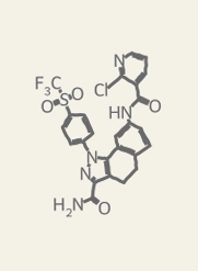 NC(=O)c1nn(-c2ccc(S(=O)(=O)C(F)(F)F)cc2)c2c1CCc1ccc(NC(=O)c3cccnc3Cl)cc1-2